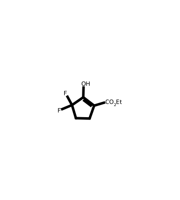 CCOC(=O)C1=C(O)C(F)(F)CC1